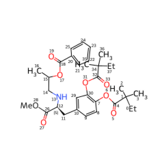 CCC(C)(C)C(=O)Oc1ccc(C[C@H](NCC(C)OC(=O)c2ccccc2)C(=O)OC)cc1OC(=O)C(C)(C)CC